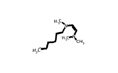 CCCCCCN(C)/C=C\N(C)C